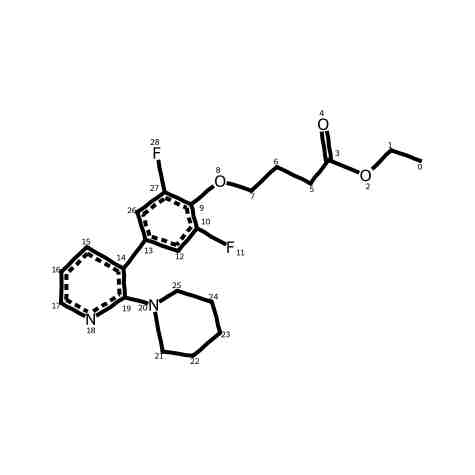 CCOC(=O)CCCOc1c(F)cc(-c2cccnc2N2CCCCC2)cc1F